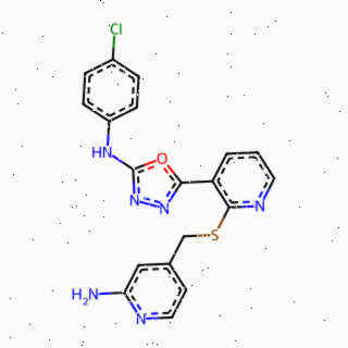 Nc1cc(CSc2ncccc2-c2nnc(Nc3ccc(Cl)cc3)o2)ccn1